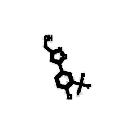 OCc1cc(-c2ccc(Cl)c(C(F)(F)F)c2)on1